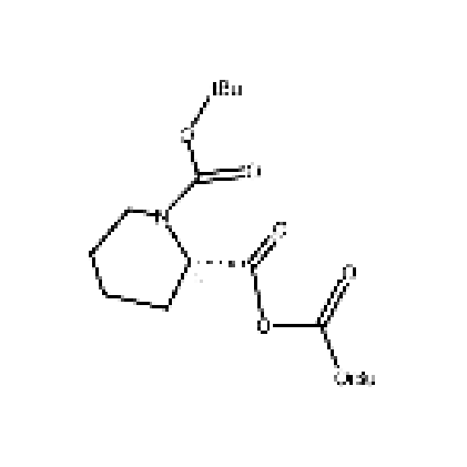 CC(C)COC(=O)OC(=O)[C@@H]1CCCCN1C(=O)OC(C)(C)C